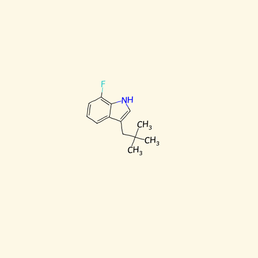 CC(C)(C)Cc1c[nH]c2c(F)cccc12